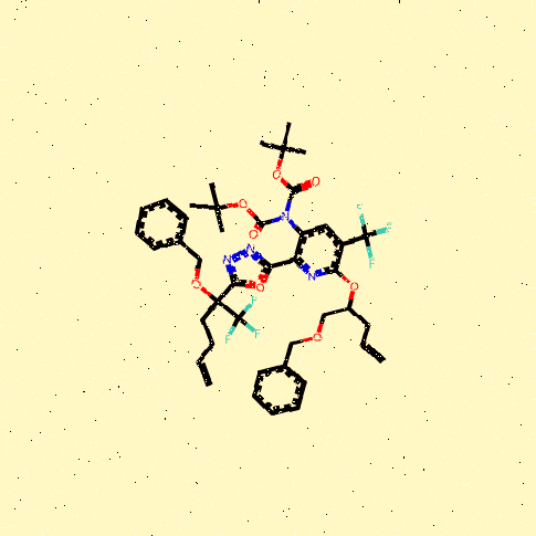 C=CCCC(OCc1ccccc1)(c1nnc(-c2nc(OC(CC=C)COCc3ccccc3)c(C(F)(F)F)cc2N(C(=O)OC(C)(C)C)C(=O)OC(C)(C)C)o1)C(F)(F)F